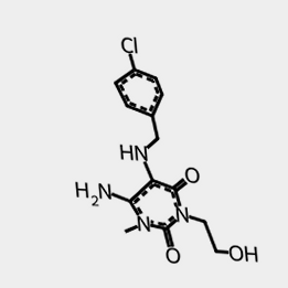 Cn1c(N)c(NCc2ccc(Cl)cc2)c(=O)n(CCO)c1=O